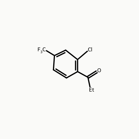 CCC(=O)c1ccc(C(F)(F)F)cc1Cl